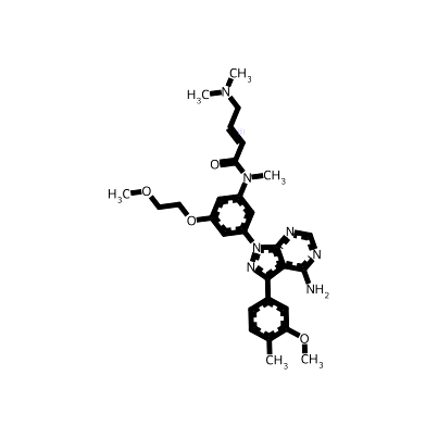 COCCOc1cc(N(C)C(=O)/C=C/CN(C)C)cc(-n2nc(-c3ccc(C)c(OC)c3)c3c(N)ncnc32)c1